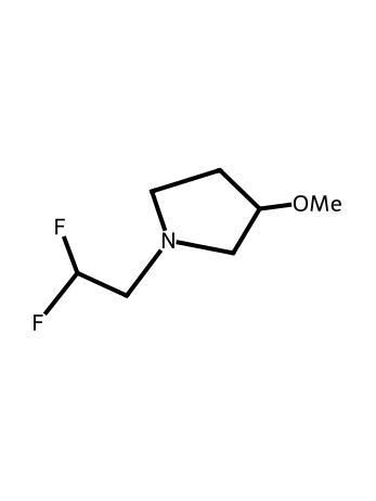 COC1CCN(CC(F)F)C1